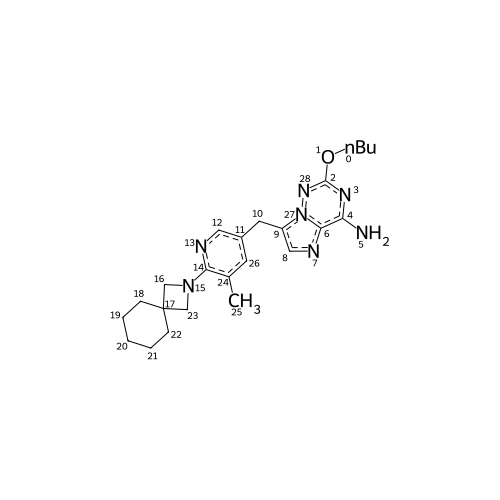 CCCCOc1nc(N)c2ncc(Cc3cnc(N4CC5(CCCCC5)C4)c(C)c3)n2n1